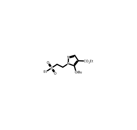 CCOC(=O)c1cnn(CCS(=O)(=O)CC)c1OCC(C)C